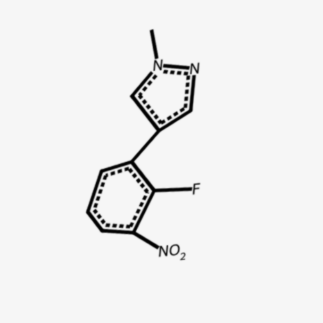 Cn1cc(-c2cccc([N+](=O)[O-])c2F)cn1